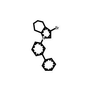 Brc1cn(-c2cccc(-c3ccccc3)c2)c2c1CCCC2